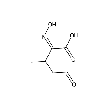 CC(CC=O)C(=NO)C(=O)O